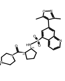 Cc1noc(C)c1-c1cc(S(=O)(=O)N[C@@H]2CCC[C@H]2C(=O)N2CCN(C)CC2)c2cccnc2c1